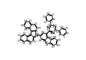 c1ccc(-c2nc(-c3ccccc3)nc(-c3cc(-n4c5ccc6ccccc6c5c5c6ccccc6ccc54)cc4sc5ccccc5c34)n2)cc1